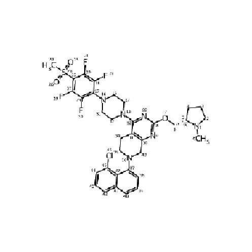 CN1CCC[C@H]1COc1nc2c(c(N3CCN(c4c(F)c(F)c(S(C)(=O)=O)c(F)c4F)CC3)n1)CCN(c1cccc3cccc(Cl)c13)C2